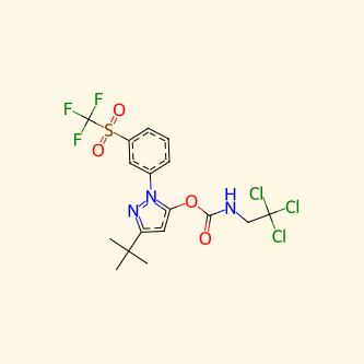 CC(C)(C)c1cc(OC(=O)NCC(Cl)(Cl)Cl)n(-c2cccc(S(=O)(=O)C(F)(F)F)c2)n1